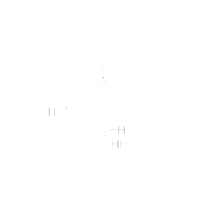 CC(C)[CH2][Al][CH2]C(C)C.CCC[CH2][AlH2].[HH].[HH]